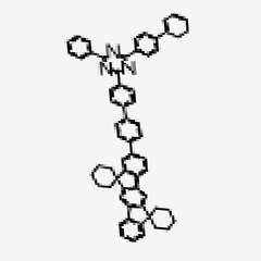 C1=CCCC(c2ccc(-c3nc(-c4ccccc4)nc(-c4ccc(-c5ccc(-c6ccc7c(c6)C6(CCCCC6)c6cc8c(cc6-7)C6(CCCCC6)c6ccccc6-8)cc5)cc4)n3)cc2)=C1